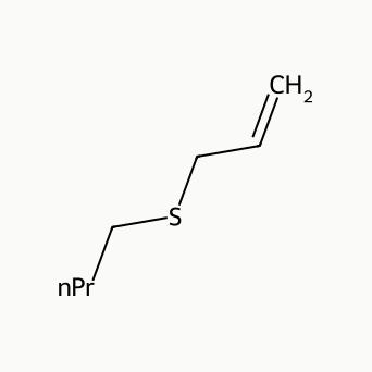 [CH2]CCCSCC=C